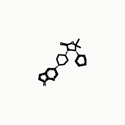 CC1(C)OC(=O)N([C@H]2CC[C@@H](c3cnc4[nH]ccc4c3)CC2)[C@H]1c1ccccc1